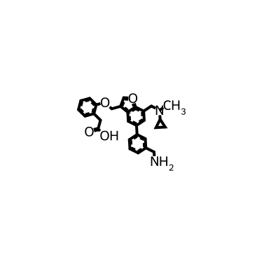 CN(Cc1cc(-c2cccc(CN)c2)cc2c(COc3ccccc3CC(=O)O)coc12)C1CC1